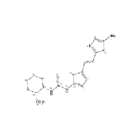 CC(C)(C)c1cnc(C=Cc2cnc(NC(=O)N[C@H]3CCCC[C@H]3C(=O)O)s2)o1